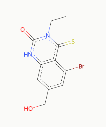 CCn1c(=O)[nH]c2cc(CO)cc(Br)c2c1=S